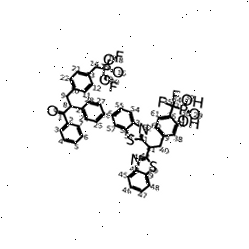 O=C(c1ccccc1)C(Cc1ccc(CP(=O)(OF)OF)cc1)c1ccccc1.O=P(O)(O)C(F)(F)c1ccc(CC(c2nc3ccccc3s2)c2nc3ccccc3s2)cc1